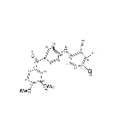 COc1ccc(C(=O)c2ccc(Oc3ccc(Cl)c(F)c3F)nc2)cc1OC